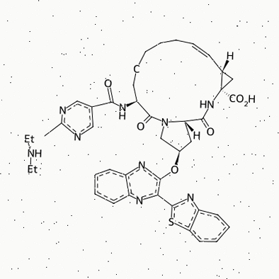 CCNCC.Cc1ncc(C(=O)N[C@H]2CCCCCC=C[C@@H]3C[C@@]3(C(=O)O)NC(=O)[C@@H]3C[C@@H](Oc4nc5ccccc5nc4-c4nc5ccccc5s4)CN3C2=O)cn1